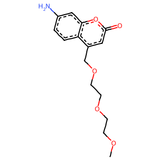 COCCOCCOCc1cc(=O)oc2cc(N)ccc12